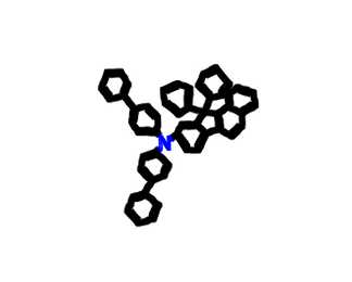 c1ccc(-c2ccc(N(c3ccc(-c4ccccc4)cc3)c3ccc4c(c3)C(c3ccccc3)(c3ccccc3)c3c-4ccc4ccccc34)cc2)cc1